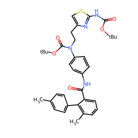 Cc1ccc(-c2c(C)cccc2C(=O)Nc2ccc(N(CCc3csc(NC(=O)OC(C)(C)C)n3)C(=O)OC(C)(C)C)cc2)cc1